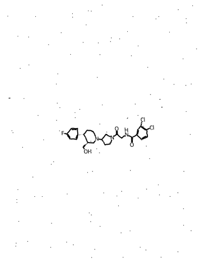 O=C(NCC(=O)N1CCC(N2CC[C@@H](c3ccc(F)cc3)[C@H](CO)C2)C1)c1ccc(Cl)c(Cl)c1